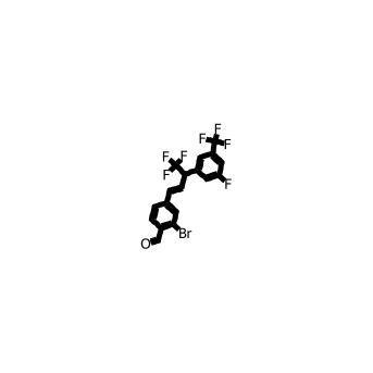 O=Cc1ccc(/C=C/C(c2cc(F)cc(C(F)(F)F)c2)C(F)(F)F)cc1Br